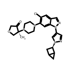 C[C@]1(N2CCN(c3cc4c(cnn4-c4cnn([C@@H]5CC6CC65)c4)cc3Cl)CC2)COCC1=O